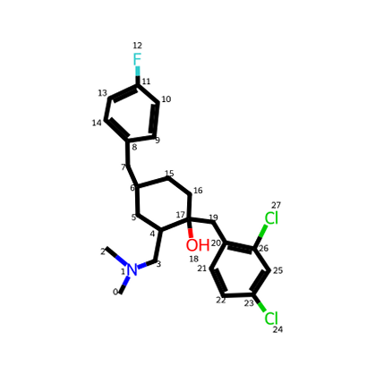 CN(C)CC1CC(Cc2ccc(F)cc2)CCC1(O)Cc1ccc(Cl)cc1Cl